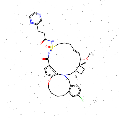 CO[C@H]1/C=C/CCCS(=O)(NC(=O)CCc2cnccn2)=NC(=O)c2ccc3c(c2)N(Cc2ccc(Cl)cc2CCCCO3)C[C@@H]2CC[C@H]21